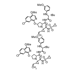 C=C[C@@H]1C[C@@]1(C(=O)NS(=O)(=O)C1CC1)N1CC(Oc2ncc(OC)c3ccc(Cl)cc23)C[C@H]1C(=O)NC(=O)[C@H](Nc1cccc(OC)c1)C(C)(C)C.C=C[C@@H]1C[C@@]1(C(=O)NS(=O)(=O)C1CC1)N1C[C@H](Oc2ncc(OC)c3ccc(Cl)cc23)C[C@H]1C(=O)NC(=O)[C@@H](Nc1cccc(OC)c1)C(C)(C)C